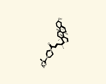 C[C@H](CCC(=O)N1CCN(c2nnnn2C)CC1)[C@H]1CC[C@H]2[C@@H]3CC=C4C[C@@H](O)CC[C@]4(C)[C@H]3CC[C@]12C